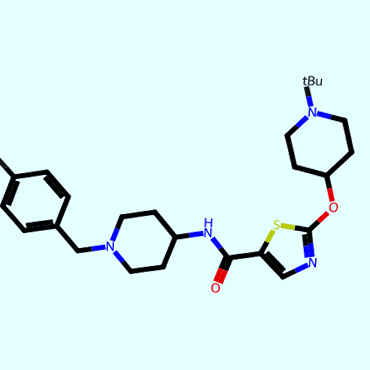 CC(C)(C)N1CCC(Oc2ncc(C(=O)NC3CCN(Cc4ccc(C#N)cc4)CC3)s2)CC1